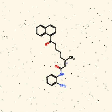 C/C(=C/C(=O)Nc1ccccc1N)CCCCC(=O)c1cccc2ccccc12